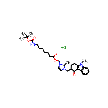 CC1N(COC(=O)CCCCCCNC(=O)OC(C)(C)C)C=CN1CC1CCc2c(c3ccccc3n2C)C1=O.Cl